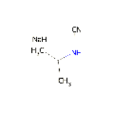 CC(C)NC#N.[NaH]